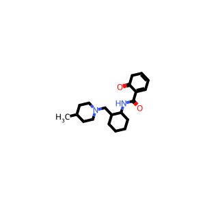 CC1CCN(CC2CCCCC2NC(=O)C2=CC=CCC2=O)CC1